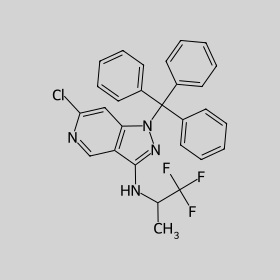 CC(Nc1nn(C(c2ccccc2)(c2ccccc2)c2ccccc2)c2cc(Cl)ncc12)C(F)(F)F